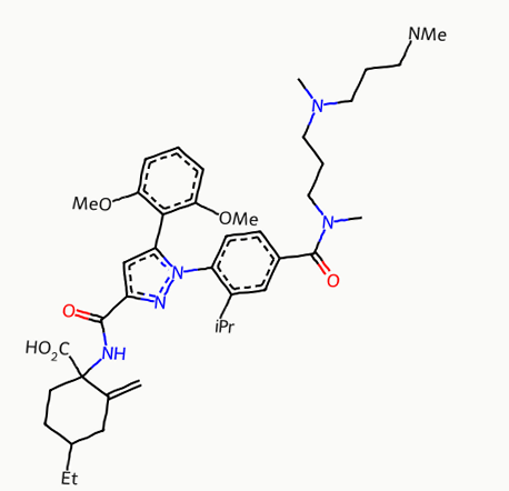 C=C1CC(CC)CCC1(NC(=O)c1cc(-c2c(OC)cccc2OC)n(-c2ccc(C(=O)N(C)CCCN(C)CCCNC)cc2C(C)C)n1)C(=O)O